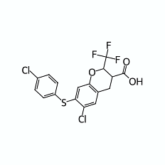 O=C(O)C1Cc2cc(Cl)c(Sc3ccc(Cl)cc3)cc2OC1C(F)(F)F